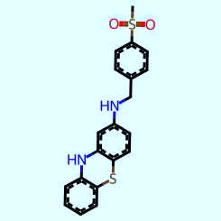 CS(=O)(=O)c1ccc(CNc2ccc3c(c2)Nc2ccccc2S3)cc1